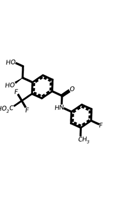 Cc1cc(NC(=O)c2ccc([C@@H](O)CO)c(C(F)(F)C(=O)O)c2)ccc1F